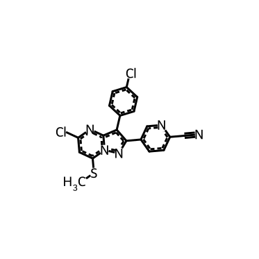 CSc1cc(Cl)nc2c(-c3ccc(Cl)cc3)c(-c3ccc(C#N)nc3)nn12